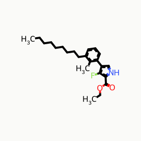 CCCCCCCCCc1cccc(-c2c[nH]c(C(=O)OCC)c2F)c1C